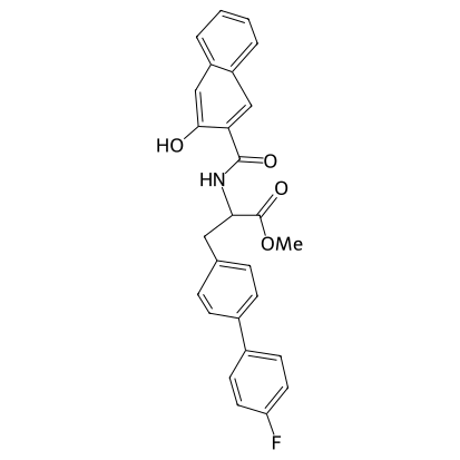 COC(=O)C(Cc1ccc(-c2ccc(F)cc2)cc1)NC(=O)c1cc2ccccc2cc1O